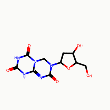 O=C1NC(=O)N2CN(C3CC(O)C(CO)O3)C(=O)N=C2N1